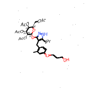 CC(=O)OC[C@H]1O[C@@H](Oc2n[nH]c(C(C)C)c2Cc2ccc(OCCCO)cc2C)[C@H](OC(C)=O)[C@@H](OC(C)=O)[C@H]1OC(C)=O